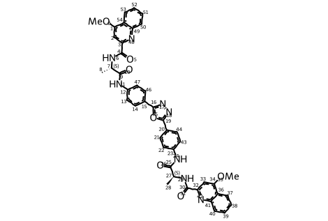 COc1cc(C(=O)N[C@@H](C)C(=O)Nc2ccc(-c3nnc(-c4ccc(NC(=O)[C@H](C)NC(=O)c5cc(OC)c6ccccc6n5)cc4)o3)cc2)nc2ccccc12